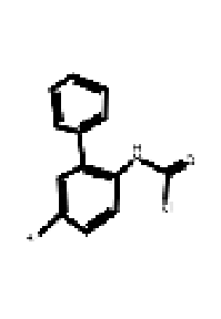 O=C(Cl)Nc1ccc(Br)cc1-c1ccccc1